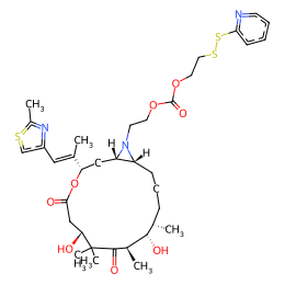 C/C(=C\c1csc(C)n1)[C@@H]1C[C@H]2[C@@H](CCC[C@H](C)[C@H](O)[C@@H](C)C(=O)C(C)(C)[C@@H](O)CC(=O)O1)N2CCOC(=O)OCCSSc1ccccn1